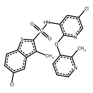 Cc1ncccc1Oc1ncc(Cl)cc1NS(=O)(=O)c1sc2ccc(Cl)cc2c1C